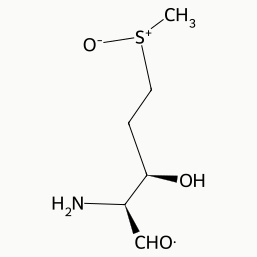 C[S+]([O-])CC[C@@H](O)[C@H](N)[C]=O